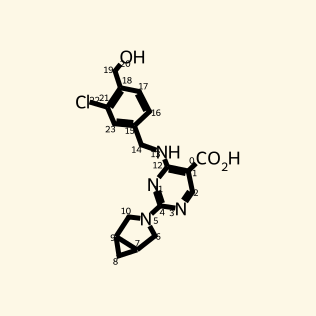 O=C(O)c1cnc(N2CC3CC3C2)nc1NCc1ccc(CO)c(Cl)c1